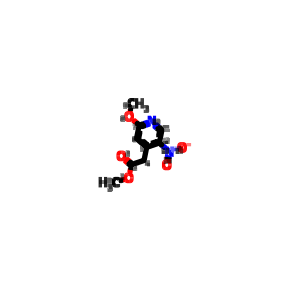 COC(=O)Cc1cc(OC)ncc1[N+](=O)[O-]